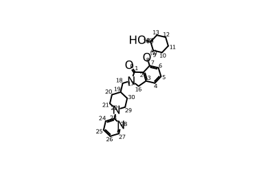 O=C1c2c(cccc2O[C@H]2CCCC[C@@H]2O)CN1CC1CCN(c2ccccn2)CC1